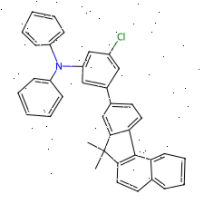 CC1(C)c2cc(-c3cc(Cl)cc(N(c4ccccc4)c4ccccc4)c3)ccc2-c2c1ccc1ccccc21